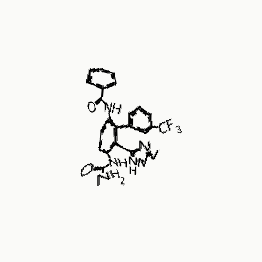 NC(=O)Nc1ccc(NC(=O)c2ccccc2)c(-c2cccc(C(F)(F)F)c2)c1-c1nnn[nH]1